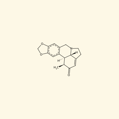 C[C@@H]1C(=O)C=C2CCN3Cc4cc5c(cc4[C@H]1[C@@H]23)OCO5